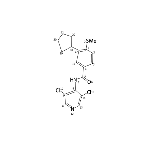 CSc1ccc(C(=O)Nc2c(Cl)cncc2Cl)cc1C1CCCC1